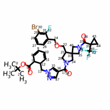 CC(C)(C)OC(=O)C1C=CC=CC1Cn1cc(C(=O)N2CC(COCc3cccc(Br)c3F)C3(C2)CN(C(=O)C2(C(F)(F)F)CC2)C3)cn1